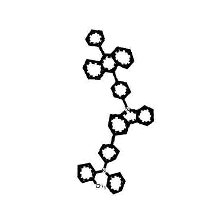 Cc1ccccc1N(c1ccccc1)c1ccc(-c2ccc3c(c2)c2ccccc2n3-c2ccc(-c3c4ccccc4c(-c4ccccc4)c4ccccc34)cc2)cc1